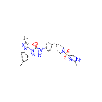 Cc1ccc(-n2nc(C(C)(C)C)cc2NC(=O)Nc2ccc(CC3CCN(S(=O)(=O)c4cn(C)c(C)n4)CC3)cc2)cc1